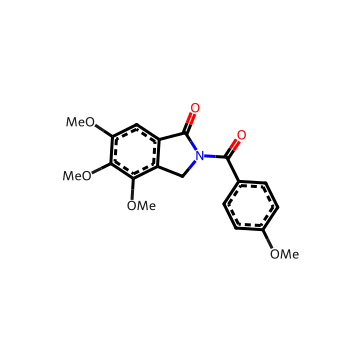 COc1ccc(C(=O)N2Cc3c(cc(OC)c(OC)c3OC)C2=O)cc1